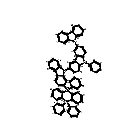 c1ccc(-n2c3ccc(-n4c5ccccc5c5ccccc54)cc3c3cc(-n4c5ccccc5c5ccc([Si]6(c7ccccc7)c7ccccc7[Si](c7ccccc7)(c7ccccc7)c7ccccc76)cc54)ccc32)cc1